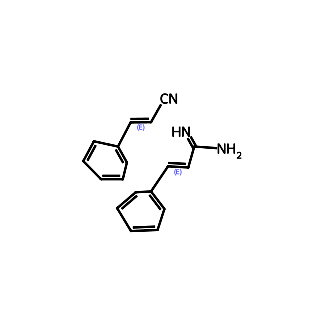 N#C/C=C/c1ccccc1.N=C(N)/C=C/c1ccccc1